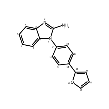 Nc1nc2ccccc2n1-c1ccc(-c2ccco2)cc1